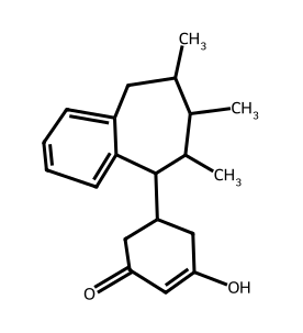 CC1Cc2ccccc2C(C2CC(=O)C=C(O)C2)C(C)C1C